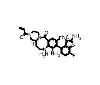 C=CC(=O)N1CCN2C(=O)c3cc(F)c(-c4ccc(F)c5sc(N)c(C#N)c45)c(N)c3N(N)CC[C@H]2C1